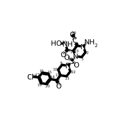 NN1CCN(S(=O)(=O)N2CCC(C(=O)c3ccc(Cl)cc3)CC2)[C@@H](C(=O)NO)C1=C=O